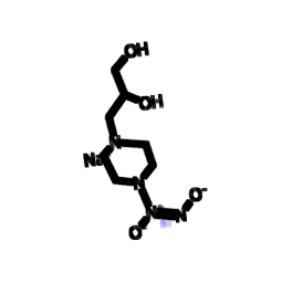 [Na+].[O-]/N=[N+](/[O-])N1CCN(CC(O)CO)CC1